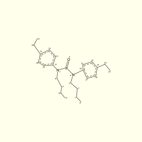 CCCCN(C(=O)N(CCCC)c1ccc(CC)cc1)c1ccc(CC)cc1